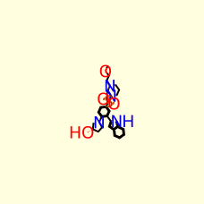 COCCN1CCCN(S(=O)(=O)c2ccc(N3CC[C@H](O)C3)c(-c3cc4ccccc4[nH]3)c2)C1